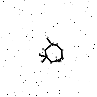 CN1CCCNCC(C)(C)C1